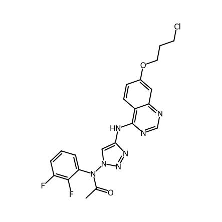 CC(=O)N(c1cccc(F)c1F)n1cc(Nc2ncnc3cc(OCCCCl)ccc23)nn1